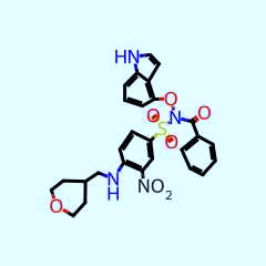 O=C(c1ccccc1)N(Oc1cccc2[nH]ccc12)S(=O)(=O)c1ccc(NCC2CCOCC2)c([N+](=O)[O-])c1